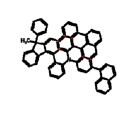 CC1(c2ccccc2)c2ccccc2-c2c(-c3ccccc3N(c3ccc(-c4cccc5ccccc45)cc3)c3ccccc3-c3cccc4cccc(-c5ccccc5)c34)cccc21